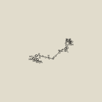 CCSSCO[C@H]1C[C@H](n2cc(C#CCNC(=O)OCCCCOCSSC(C)(C)CCONCCOCCOCCNC(=O)c3ccc(C(=O)O)c(-c4c5ccc(=N)c(S(=O)(=O)O)c-5oc5c(S(=O)(=O)O)c(N)ccc45)c3)c(N)nc2=O)O[C@@H]1COP(=O)(O)OP(=O)(O)OP(=O)(O)O